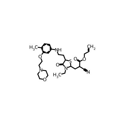 C=CCOC(=O)C(C#N)CC1SC(CCNc2ccc(C)c(OCCN3CCOCC3)c2)C(=O)N1CC